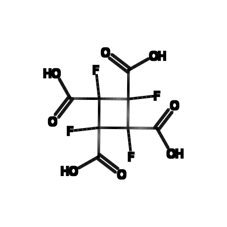 O=C(O)C1(F)C(F)(C(=O)O)C(F)(C(=O)O)C1(F)C(=O)O